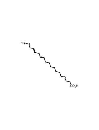 CCCOCC=CCC=CCCCCCCCSCCC(=O)O